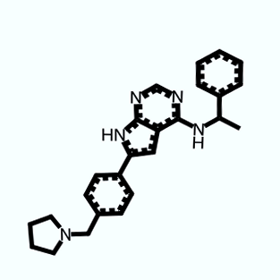 CC(Nc1ncnc2[nH]c(-c3ccc(CN4CCCC4)cc3)cc12)c1ccccc1